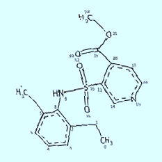 CCc1cccc(C)c1NS(=O)(=O)c1cnccc1C(=O)OC